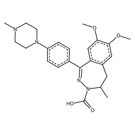 COc1cc2c(cc1OC)C(c1ccc(N3CCN(C)CC3)cc1)=NN(C(=O)O)C(C)C2